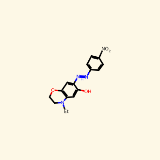 CCN1CCOc2cc(/N=N/c3ccc([N+](=O)[O-])cc3)c(O)cc21